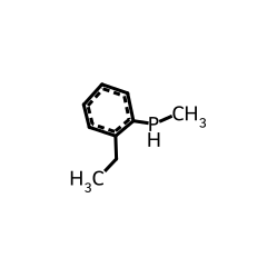 CCc1ccccc1PC